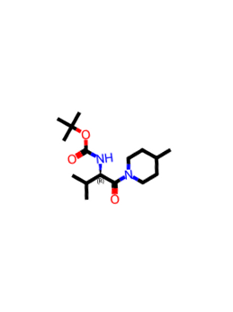 CC1CCN(C(=O)[C@H](NC(=O)OC(C)(C)C)C(C)C)CC1